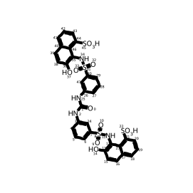 O=C(Nc1cccc(S(=O)(=O)Nc2c(O)ccc3cccc(S(=O)(=O)O)c23)c1)Nc1cccc(S(=O)(=O)Nc2c(O)ccc3cccc(S(=O)(=O)O)c23)c1